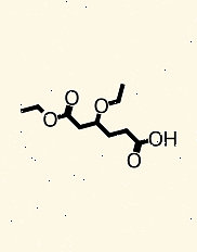 CCOC(=O)CC(CCC(=O)O)OCC